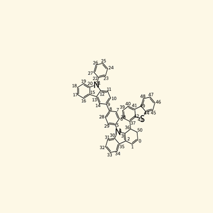 C1=Cc2c(n(-c3ccc(-c4ccc5c(c4)c4ccccc4n5-c4ccccc4)cc3)c3ccccc23)C(c2cccc3c2sc2ccccc23)C1